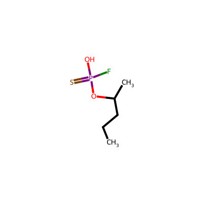 CCCC(C)OP(O)(F)=S